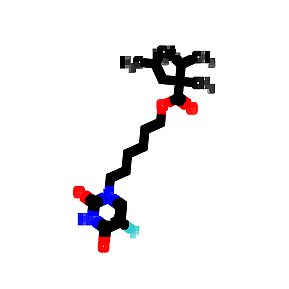 CC(C)CC(C)(C(=O)OCCCCCCn1cc(F)c(=O)[nH]c1=O)C(C)C